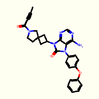 CC#CC(=O)N1CCC2(CC(n3c(=O)n(-c4ccc(Oc5ccccc5)cc4)c4c(N)ncnc43)C2)C1